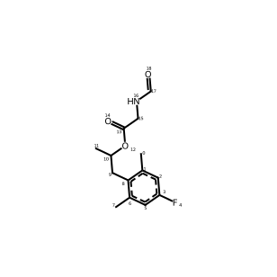 Cc1cc(F)cc(C)c1CC(C)OC(=O)CNC=O